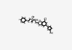 CC(=O)c1ccc(-c2cc(Cl)c3c(c2)CC(CNS(=O)(=O)/C=C/c2cccnc2)O3)s1